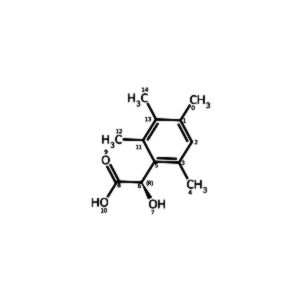 Cc1cc(C)c([C@@H](O)C(=O)O)c(C)c1C